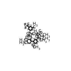 COC(=O)[C@@H](C(C)C)N(C)C(=O)c1ccc(OC)c(C2=C(CN3C(=O)O[C@H](c4cc(C)cc(C(F)(F)F)c4)[C@@H]3C)CC(C)(C)CC2)c1